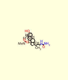 CC[C@H]1[C@@H](OC(=O)NC)[C@@H]2[C@H](CC[C@]3(C)[C@@H]([C@H](C)CCNC(N)=O)CC[C@@H]23)[C@@]2(C)CC[C@@H](O)C[C@@H]12